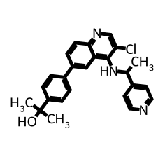 CC(Nc1c(Cl)cnc2ccc(-c3ccc(C(C)(C)O)cc3)cc12)c1ccncc1